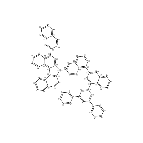 c1ccc(-c2cc(-c3ccccc3)cc(-c3nc(-c4cccc5cc(-n6c7ccc8ccccc8c7c7c8ccccc8c(-c8ccc9ccccc9c8)cc76)ccc45)nc4ccccc34)c2)cc1